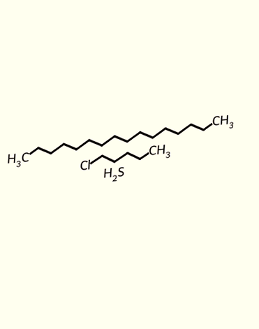 CCCCCCCCCCCCCCCC.CCCCCCl.S